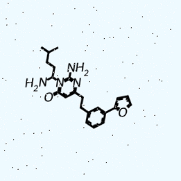 CC(C)CCC(N)n1c(N)nc(CCc2cccc(-c3ccco3)c2)cc1=O